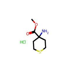 COC(=O)C1(N)CCSCC1.Cl